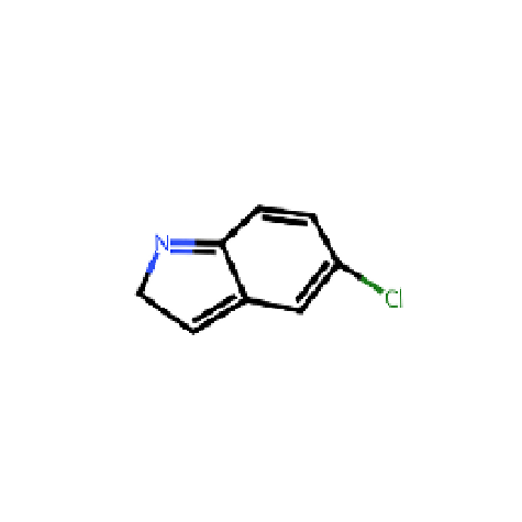 Clc1ccc2c(c1)=CCN=2